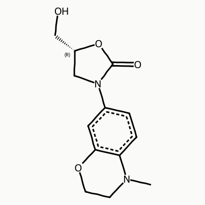 CN1CCOc2cc(N3C[C@H](CO)OC3=O)ccc21